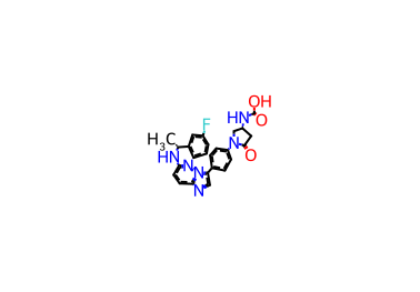 C[C@@H](Nc1ccc2ncc(-c3ccc(N4C[C@@H](NC(=O)O)CC4=O)cc3)n2n1)c1cccc(F)c1